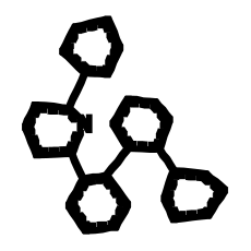 c1ccc(-c2cccc(-c3ccccc3-c3ccccc3-c3ccccc3)n2)cc1